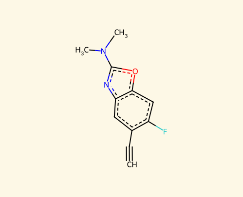 C#Cc1cc2nc(N(C)C)oc2cc1F